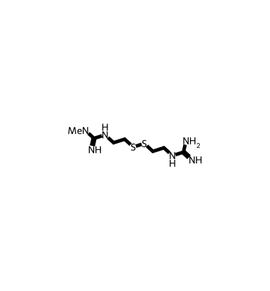 CNC(=N)NCCSSCCNC(=N)N